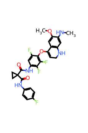 CNc1cc2c(cc1OC)C(Oc1c(F)cc(NC(=O)C3(C(=O)Nc4ccc(F)cc4)CC3)c(F)c1F)=CCN2